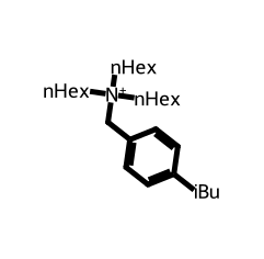 CCCCCC[N+](CCCCCC)(CCCCCC)Cc1ccc(C(C)CC)cc1